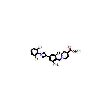 CCc1cccc(CC)c1N1CC(c2cc(C)c(CN3CCC(C(=O)OC)CC3)c(C)c2)C1